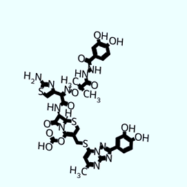 Cc1cc(SCC2=C(OC(=O)O)N3C(=O)[C@@H](NC(=O)/C(=N\OC(C)(C)C(=O)NNC(=O)c4ccc(O)c(O)c4)c4csc(N)n4)[C@H]3SC2)n2nc(-c3ccc(O)c(O)c3)nc2n1